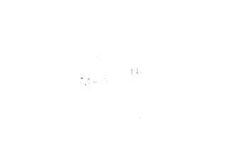 COc1cccc2ccn(-c3ccccc3)c12